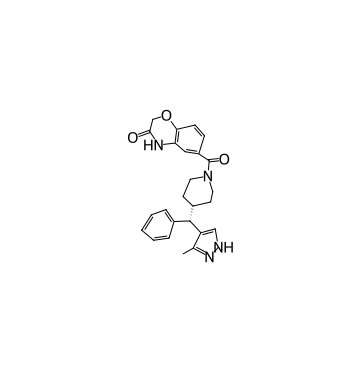 Cc1n[nH]cc1[C@H](c1ccccc1)C1CCN(C(=O)c2ccc3c(c2)NC(=O)CO3)CC1